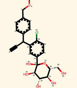 C#CC(c1ccc(COC)cc1)c1cc([C@]2(O)O[C@H](CO)[C@@H](O)[C@H](O)[C@H]2O)ccc1Cl